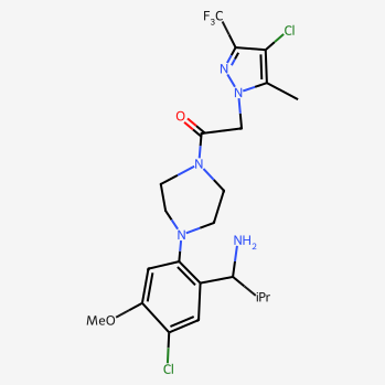 COc1cc(N2CCN(C(=O)Cn3nc(C(F)(F)F)c(Cl)c3C)CC2)c(C(N)C(C)C)cc1Cl